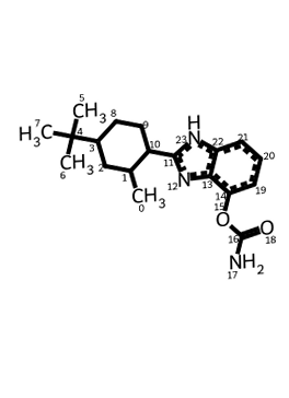 CC1CC(C(C)(C)C)CCC1c1nc2c(OC(N)=O)cccc2[nH]1